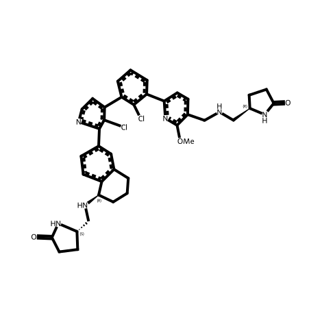 COc1nc(-c2cccc(-c3ccnc(-c4ccc5c(c4)CCC[C@H]5NC[C@@H]4CCC(=O)N4)c3Cl)c2Cl)ccc1CNC[C@H]1CCC(=O)N1